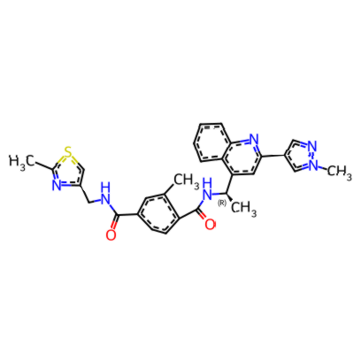 Cc1nc(CNC(=O)c2ccc(C(=O)N[C@H](C)c3cc(-c4cnn(C)c4)nc4ccccc34)c(C)c2)cs1